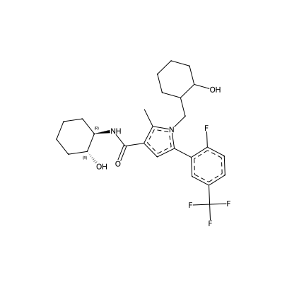 Cc1c(C(=O)N[C@@H]2CCCC[C@H]2O)cc(-c2cc(C(F)(F)F)ccc2F)n1CC1CCCCC1O